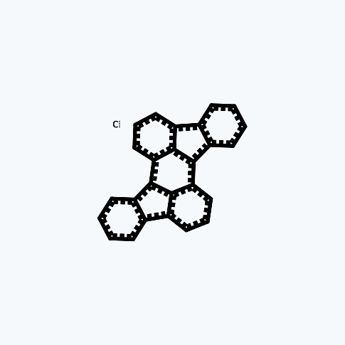 [C].c1ccc2c(c1)c1cccc3c4c5ccccc5c5cccc(c2c13)c54